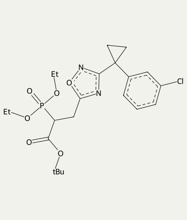 CCOP(=O)(OCC)C(Cc1nc(C2(c3cccc(Cl)c3)CC2)no1)C(=O)OC(C)(C)C